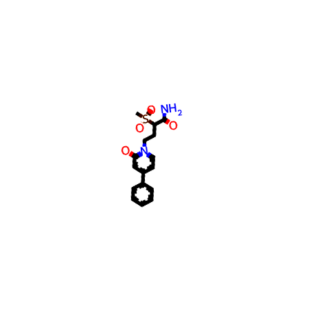 CS(=O)(=O)C(CCn1ccc(-c2ccccc2)cc1=O)C(N)=O